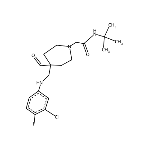 CC(C)(C)NC(=O)CN1CCC(C=O)(CNc2ccc(F)c(Cl)c2)CC1